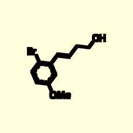 COc1ccc(Br)c(C=CCCO)c1